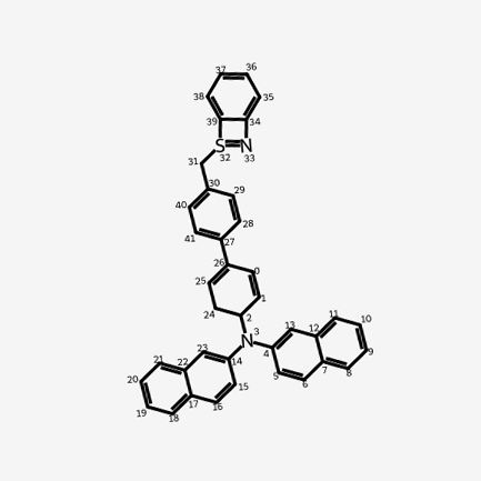 C1=CC(N(c2ccc3ccccc3c2)c2ccc3ccccc3c2)CC=C1c1ccc(CS2=Nc3ccccc32)cc1